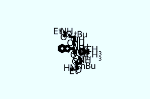 CCCCC(NC(=O)[C@@H]1[C@@H]2[C@H](CN1C(=O)[C@@H](NC(=O)N[C@H](COC(=O)NCC)C(C)(C)C)C1Cc3ccccc3C1)C2(C)C)C(=O)C(=O)NCC